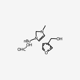 CCCCN1C=CN(C)C1.O=CO.OCc1ccoc1